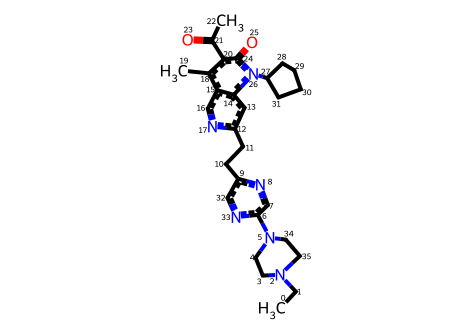 CCN1CCN(c2cnc(CCc3cc4c(cn3)c(C)c(C(C)=O)c(=O)n4C3CCCC3)cn2)CC1